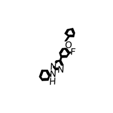 Fc1cc(-c2cnc(Nc3ccccc3)nc2)ccc1OCc1ccccc1